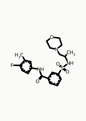 Cc1cc(NC(=O)c2cccc(S(=O)(=O)NC(C)CN3CCOCC3)c2)ccc1F